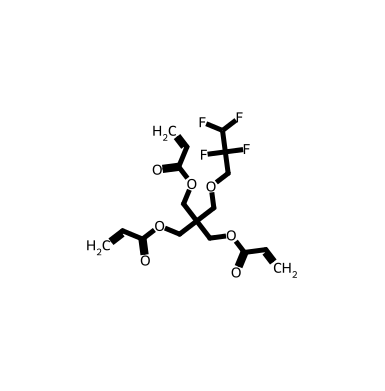 C=CC(=O)OCC(COCC(F)(F)C(F)F)(COC(=O)C=C)COC(=O)C=C